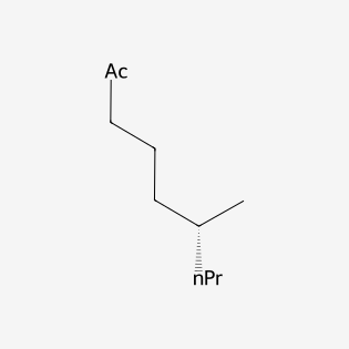 CCC[C@@H](C)CCCC(C)=O